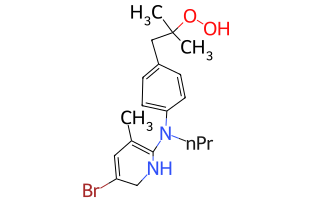 CCCN(C1=C(C)C=C(Br)CN1)c1ccc(CC(C)(C)OO)cc1